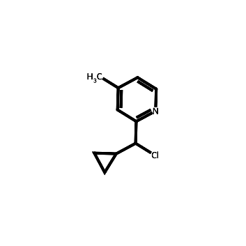 Cc1ccnc(C(Cl)C2CC2)c1